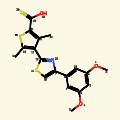 COc1cc(OC)cc(-c2csc(-c3c(C)sc(C(O)=S)c3C)n2)c1